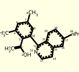 C=C(O)c1c(C)cc(C)cc1-c1nccc2cc(CCC)ccc12